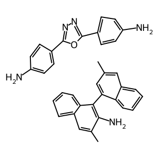 Cc1cc(-c2c(N)c(C)cc3ccccc23)c2ccccc2c1.Nc1ccc(-c2nnc(-c3ccc(N)cc3)o2)cc1